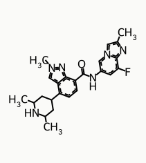 Cc1cn2cc(NC(=O)c3ccc(C4CC(C)NC(C)C4)c4cn(C)nc34)cc(F)c2n1